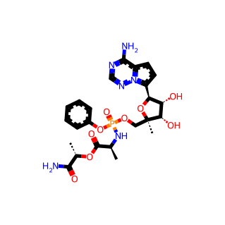 C[C@H](NP(=O)(OC[C@@]1(C)O[C@@H](c2ccc3c(N)ncnn23)[C@H](O)[C@@H]1O)Oc1ccccc1)C(=O)O[C@@H](C)C(N)=O